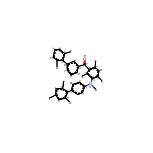 Cc1cc(C)c(-c2ccc(N(C)c3c(C)cc(C)c(C(=O)c4cccc(-c5c(C)cccc5C)c4)c3C)cc2)c(C)c1